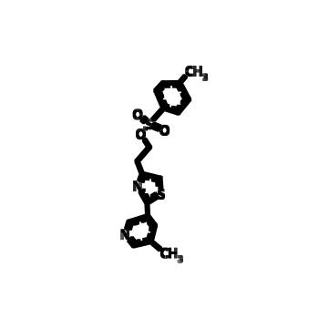 Cc1ccc(S(=O)(=O)OCCc2csc(-c3cncc(C)c3)n2)cc1